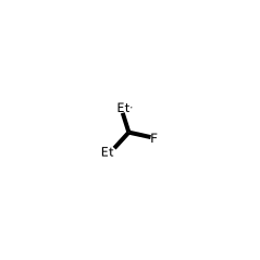 C[CH]C(F)CC